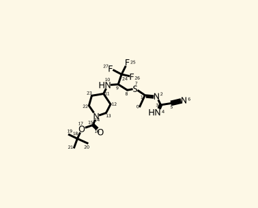 C/C(=N\C(=N)C#N)SCC(NC1CCN(C(=O)OC(C)(C)C)CC1)C(F)(F)F